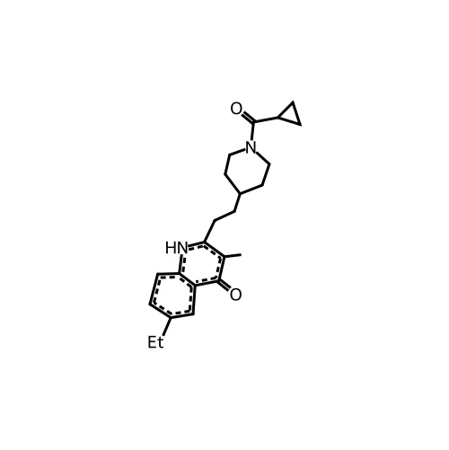 CCc1ccc2[nH]c(CCC3CCN(C(=O)C4CC4)CC3)c(C)c(=O)c2c1